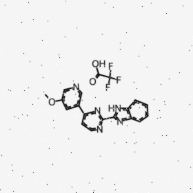 COc1cncc(-c2ccnc(-c3nc4ccccc4[nH]3)n2)c1.O=C(O)C(F)(F)F